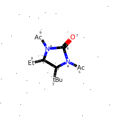 CCC1C(C(C)(C)C)N(C(C)=O)C(=O)N1C(C)=O